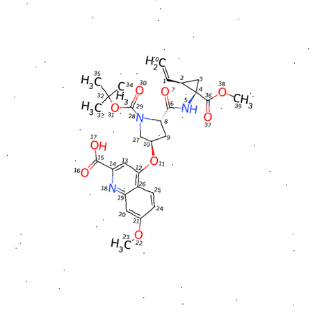 C=C[C@H]1C[C@]1(NC(=O)[C@@H]1C[C@@H](Oc2cc(C(=O)O)nc3cc(OC)ccc23)CN1C(=O)OC(C)(C)C)C(=O)OC